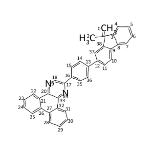 CC1(C)c2ccccc2-c2ccc(-c3ccc(-c4cnc5c6ccccc6c6ccccc6c5n4)cc3)cc21